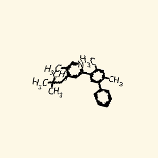 Cc1cnc(-c2cc(-c3ccccc3)c(C)cc2C)cc1CC(C)(C)C